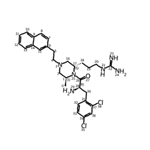 C[C@H]1CN(CCc2ccc3ccccc3c2)C[C@H](CCCNC(=N)N)N1C(=O)[C@H](N)Cc1ccc(Cl)cc1Cl